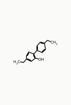 CCc1ccc(-c2ccc(CC)cc2O)cc1